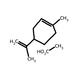 C=C(C)C1CC=C(C)CC1.CC(=O)O